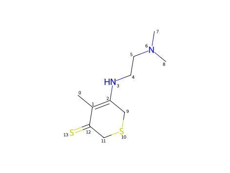 CC1=C(NCCN(C)C)CSCC1=S